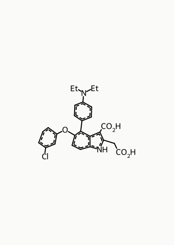 CCN(CC)c1ccc(-c2c(Oc3cccc(Cl)c3)ccc3[nH]c(CC(=O)O)c(C(=O)O)c23)cc1